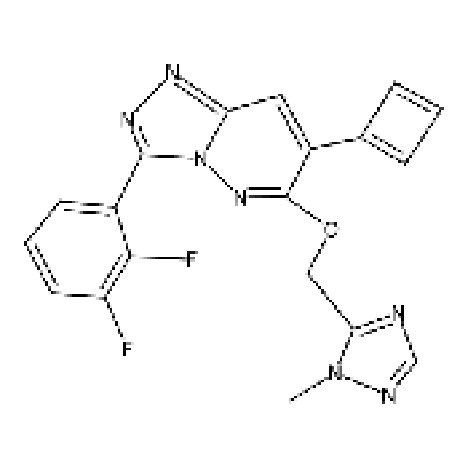 Cn1ncnc1COc1nn2c(-c3cccc(F)c3F)nnc2cc1C1=CC=C1